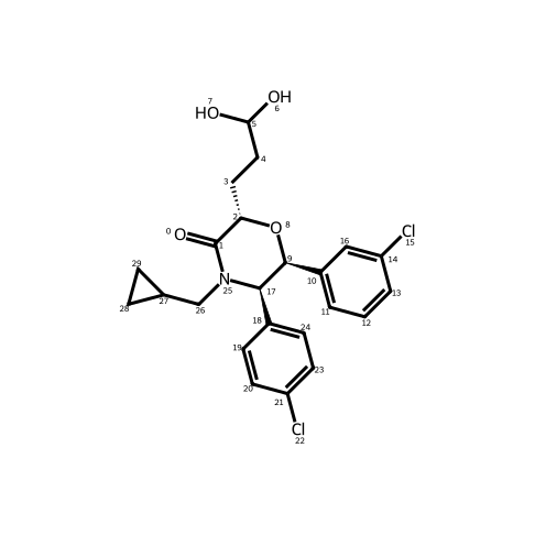 O=C1[C@H](CCC(O)O)O[C@@H](c2cccc(Cl)c2)[C@@H](c2ccc(Cl)cc2)N1CC1CC1